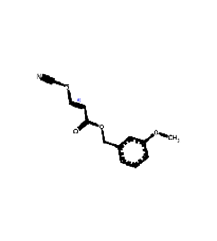 COc1cccc(COC(=O)/C=C/SC#N)c1